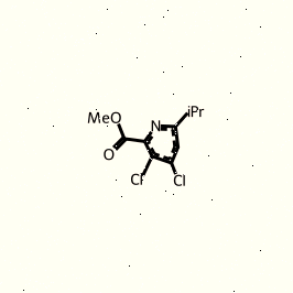 COC(=O)c1nc(C(C)C)cc(Cl)c1Cl